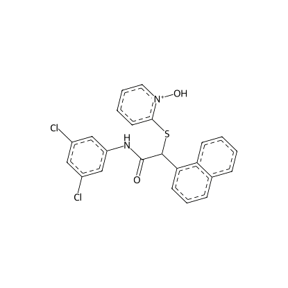 O=C(Nc1cc(Cl)cc(Cl)c1)C(Sc1cccc[n+]1O)c1cccc2ccccc12